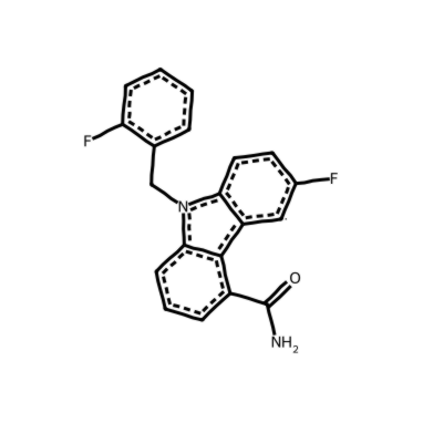 NC(=O)c1cccc2c1c1[c]c(F)ccc1n2Cc1ccccc1F